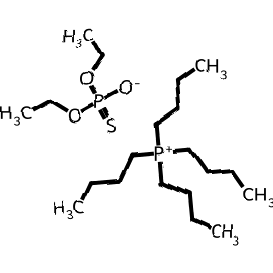 CCCC[P+](CCCC)(CCCC)CCCC.CCOP([O-])(=S)OCC